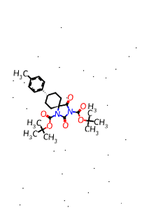 Cc1ccc([C@H]2CC[C@@]3(CC2)C(=O)N(C(=O)OC(C)(C)C)C(=O)N3C(=O)OC(C)(C)C)cc1